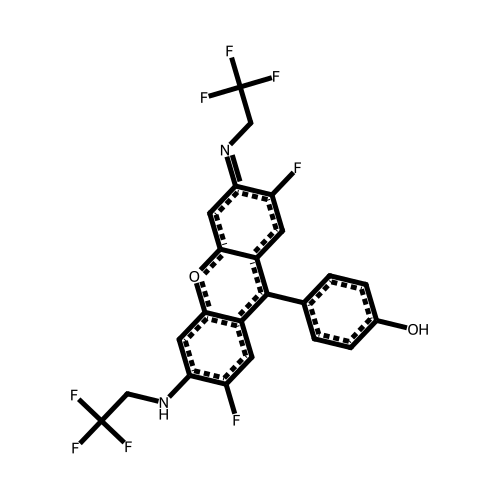 Oc1ccc(-c2c3cc(F)c(=NCC(F)(F)F)cc-3oc3cc(NCC(F)(F)F)c(F)cc23)cc1